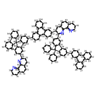 c1ccc(C2(c3ccccc3)c3ccc(-c4ccc5c6ccccc6c6ccccc6c5c4)cc3-c3cc(-c4nc5c(ccc6cccnc65)cc4-c4ccc5c6ccc(-c7ccc8c(c7)-c7cc(-c9ccc%10ccc%11cccnc%11c%10n9)ccc7C87c8ccccc8-c8ccccc87)cc6c6ccccc6c5c4)ccc32)cc1